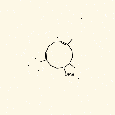 COC1CC/C(C)=C\CC/C=C(/C)CCC1C